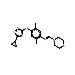 Cc1cc(Oc2nc(C3CC3)ns2)c(C)cc1N=CN1CCSCC1